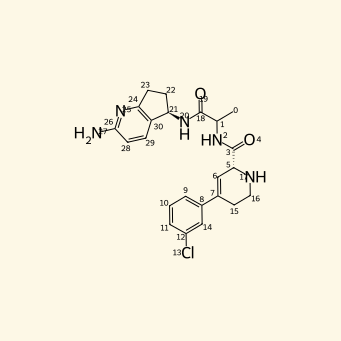 CC(NC(=O)[C@H]1C=C(c2cccc(Cl)c2)CCN1)C(=O)N[C@@H]1CCc2nc(N)ccc21